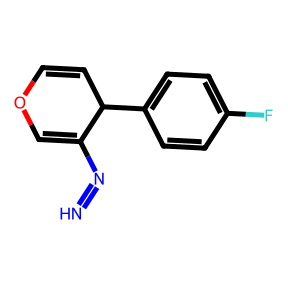 N=NC1=COC=CC1c1ccc(F)cc1